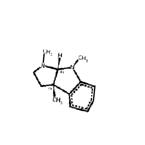 CN1CC[C@@]2(C)c3c[c]ccc3N(C)[C@@H]12